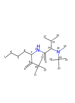 C=C(NC(CCCC)C(=C)C(C)(C)C)C(C(C)C)N(C)C(C)(C)C